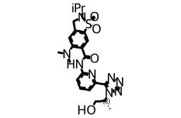 CC(C)N1Cc2cc(N(C)C)c(C(=O)Nc3cccc(-c4nnnn4[C@H](C)CO)n3)cc2S1(=O)=O